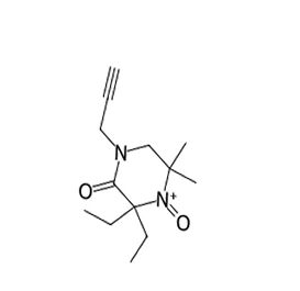 C#CCN1CC(C)(C)[N+](=O)C(CC)(CC)C1=O